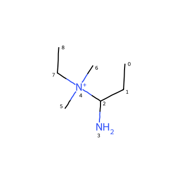 CCC(N)[N+](C)(C)CC